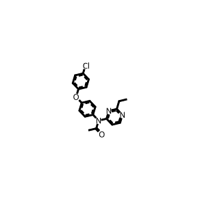 CCc1nccc(N(C(C)=O)c2ccc(Oc3ccc(Cl)cc3)cc2)n1